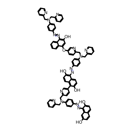 Oc1ccc2ccc(O)c(/N=N/c3ccc(N(Cc4ccccn4)Cc4ccc(-c5c(O)ccc6c(/N=N/c7ccc(N(Cc8ccccn8)Cc8ccc(Oc9cc(O)c(/N=N/c%10ccc(N(Cc%11ccccn%11)Cc%11ccccn%11)cc%10)c%10ccccc9%10)cn8)cc7)c(O)ccc56)cn4)cc3)c2c1